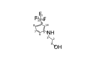 OCCCNc1cccc(C(F)(F)F)c1